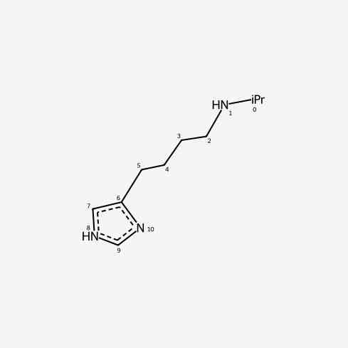 CC(C)NCCCCc1c[nH]cn1